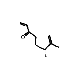 C=CC(=O)CC[C@@H](C)C(=C)C